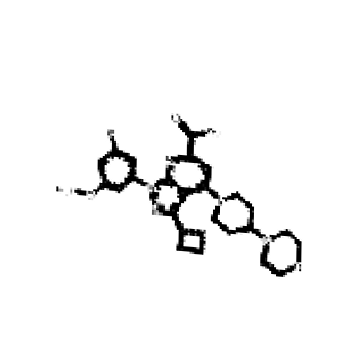 COc1cc(F)cc(-n2nc(C3CCC3)c3c(N4CCC(N5CCOCC5)CC4)cc(C(=O)O)nc32)c1